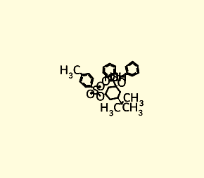 Cc1ccc(S(=O)(=O)O[C@@H]2C[C@H](C(C)(C)C)C[C@](O[SiH](c3ccccc3)c3ccccc3)(C(=O)O)C2)cc1